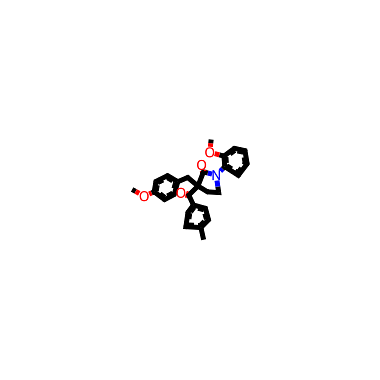 COc1ccc(CC2(C(=O)c3ccc(C)cc3)CCN(c3ccccc3OC)C2=O)cc1